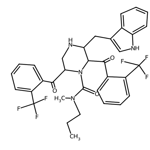 CCCN(C)C(=O)N1C(C(=O)c2ccccc2C(F)(F)F)CNC(Cc2c[nH]c3ccccc23)C1C(=O)c1ccccc1C(F)(F)F